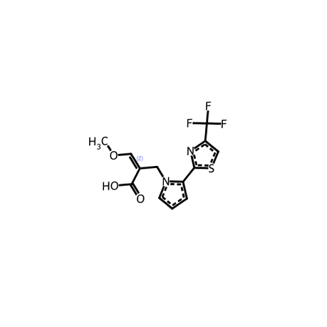 CO/C=C(/Cn1cccc1-c1nc(C(F)(F)F)cs1)C(=O)O